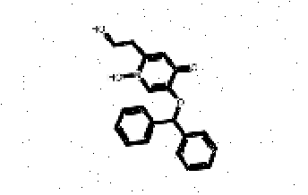 O=c1cc(CCO)n(O)cc1OC(c1ccccc1)c1ccccc1